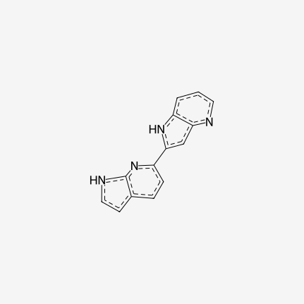 c1cnc2cc(-c3ccc4cc[nH]c4n3)[nH]c2c1